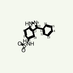 O=[SH](=O)Nc1ccc2[nH]nc(-c3ccccc3)c2c1